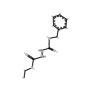 CCOC(=O)NNC(=O)OCc1ccccc1